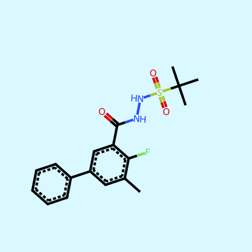 Cc1cc(-c2ccccc2)cc(C(=O)NNS(=O)(=O)C(C)(C)C)c1F